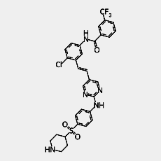 O=C(Nc1ccc(Cl)c(C=Cc2cnc(Nc3ccc(S(=O)(=O)C4CCNCC4)cc3)nc2)c1)c1cccc(C(F)(F)F)c1